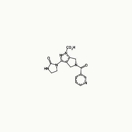 O=C(c1cccnc1)N1Cc2c(N3CCNC3=O)nn(C(=O)O)c2C1